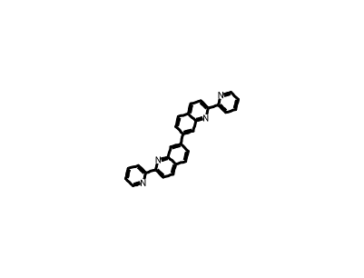 c1ccc(-c2ccc3ccc(-c4ccc5ccc(-c6ccccn6)nc5c4)cc3n2)nc1